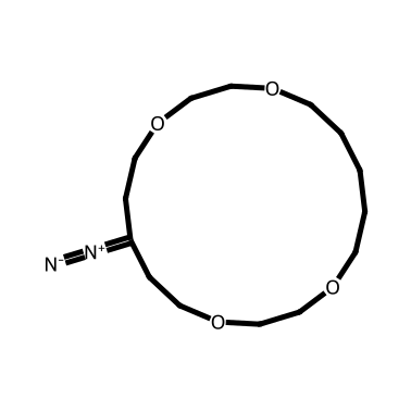 [N-]=[N+]=C1CCOCCOCCCCCOCCOCC1